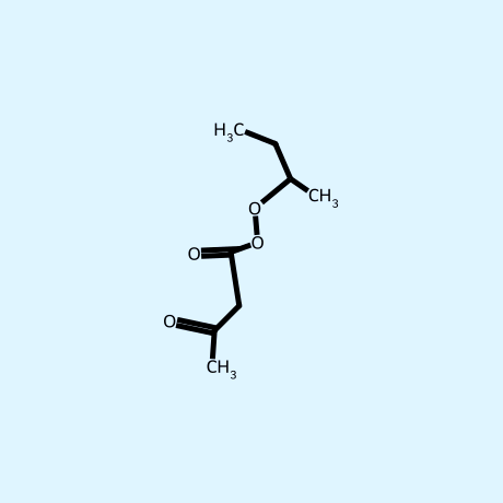 CCC(C)OOC(=O)CC(C)=O